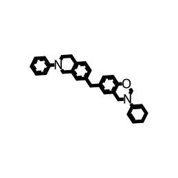 C1=CC(N2COc3ccc(Cc4ccc5c(c4)CN(c4ccccc4)CC5)cc3C2)=CCC1